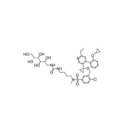 CCc1cc(-c2ccccc2OC2CC2)c(C2(OCc3cc(S(=O)(=O)N(C)CCCCNC(=O)NC[C@H](O)[C@@H](O)[C@H](O)[C@H](O)CO)ccc3Cl)CC2)cn1